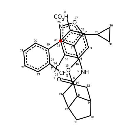 O=C(O)c1ccc(NC(=O)C2C3CCC2CC(OCc2c(-c4ccccc4C(F)(F)F)noc2C2CC2)C3)c(C(F)(F)F)c1